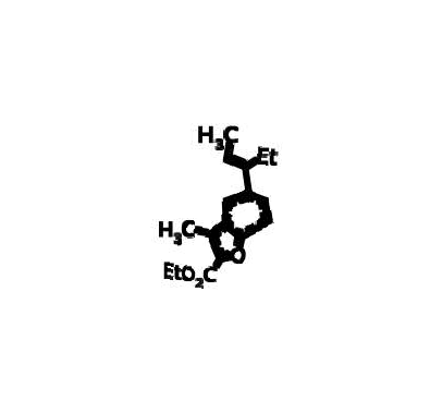 CC=C(CC)c1ccc2oc(C(=O)OCC)c(C)c2c1